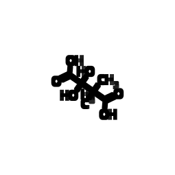 CC(C)(C(=O)O)C(O)(O)C(=O)O